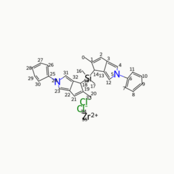 CC1=Cc2cn(-c3ccccc3)cc2C1[Si](C)(C)C1C(C)=Cc2cn(-c3ccccc3)cc21.[Cl-].[Cl-].[Zr+2]